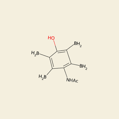 Bc1c(B)c(NC(C)=O)c(B)c(B)c1O